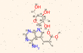 COC(=O)C(C)=Cc1cn([C@@H]2O[C@H](CO)[C@@H](O)[C@@]2(C)O)c2ncnc(N)c12